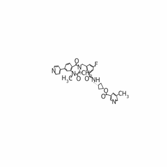 Cc1cncc(C(=O)O[C@H]2C[C@@H](CNC(=O)c3cc(F)cc(CN4C(=O)c5ccc(-c6ccncc6)cc5N(C)C(=O)[C@H]4C)c3)C2)c1